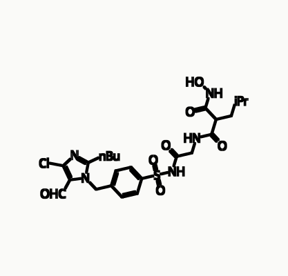 CCCCc1nc(Cl)c(C=O)n1Cc1ccc(S(=O)(=O)NC(=O)CNC(=O)C(CC(C)C)C(=O)NO)cc1